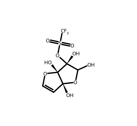 O=S(=O)(O[C@]1(O)C(O)O[C@]2(O)C=CO[C@@]21O)C(F)(F)F